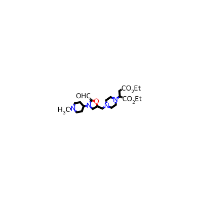 CCOC(=O)CC(C(=O)OCC)N1CCN(CC2CN(C3CCN(C)CC3)C(C=O)O2)CC1